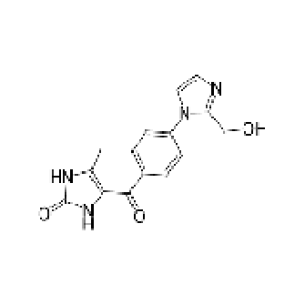 Cc1[nH]c(=O)[nH]c1C(=O)c1ccc(-n2ccnc2CO)cc1